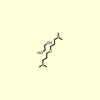 CN(C)CCCOCCCN(C)C.OCCO